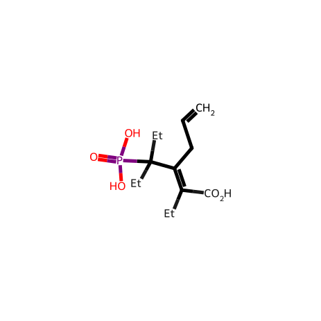 C=CC/C(=C(/CC)C(=O)O)C(CC)(CC)P(=O)(O)O